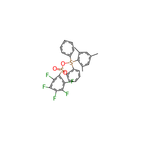 Cc1cc(C)c(S(OS(=O)(=O)c2c(F)c(F)c(F)c(F)c2F)(c2ccccc2)c2ccccc2)c(C)c1